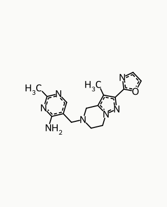 Cc1ncc(CN2CCn3nc(-c4ncco4)c(C)c3C2)c(N)n1